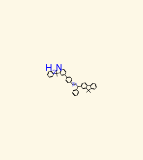 CC(C)(c1ccccc1)c1cc(-c2ccc(/C=C/C(c3ccccc3)c3ccc4c(c3)C(C)(C)c3ccccc3-4)cc2)ccc1N